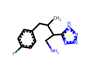 CC(Cc1ccc(F)cc1)C(CN)c1nnn[nH]1